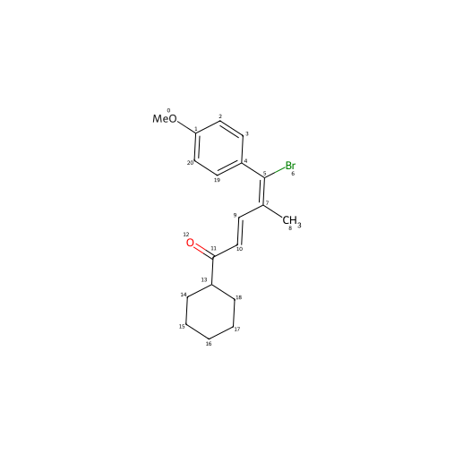 COc1ccc(C(Br)=C(C)C=CC(=O)C2CCCCC2)cc1